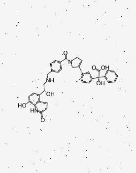 O=C(c1ccc(CNC[C@H](O)c2ccc(O)c3[nH]c(=O)ccc23)cc1)N1CC=C(c2cccc([C@](O)(C(=O)O)c3ccccc3)c2)C1